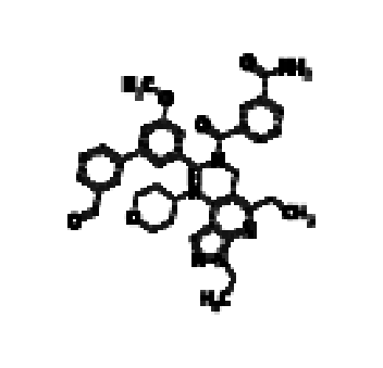 CCc1nc2c(cnn2CC)c(NC2CCOCC2)c1CN(Cc1cc(OC)cc(-c2cccc(C=O)c2)c1)C(=O)c1cccc(C(N)=O)c1